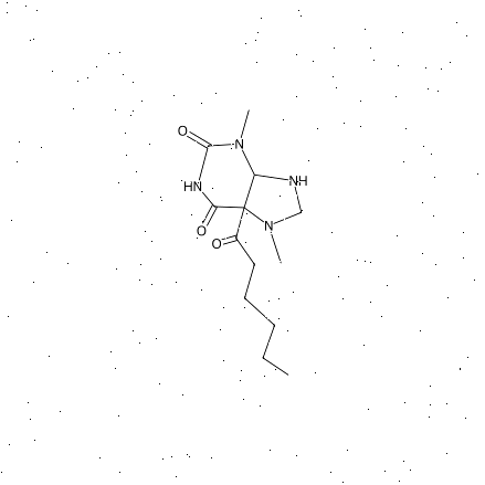 CCCCCC(=O)C12C(=O)NC(=O)N(C)C1NCN2C